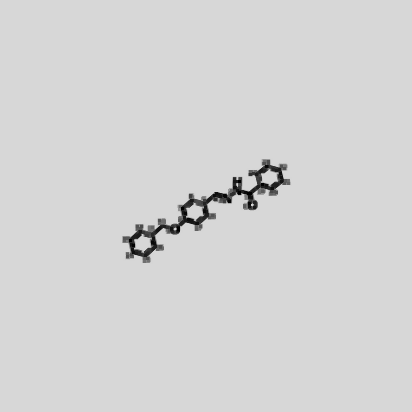 O=C(NN=Cc1ccc(OCc2ccccc2)cc1)c1ccccc1